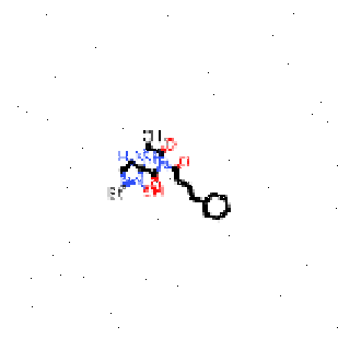 CCN1C=C[C@](N)(C(=O)N(C(=O)CCCC2CCCCC2)C(=O)C(C)N)N1O